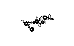 Cc1ccc(C(=O)NC2CC2)cc1-n1ncc(C(=O)c2cccc(CNCCc3cc(Cl)ccc3OCc3ccccc3)c2)c1N